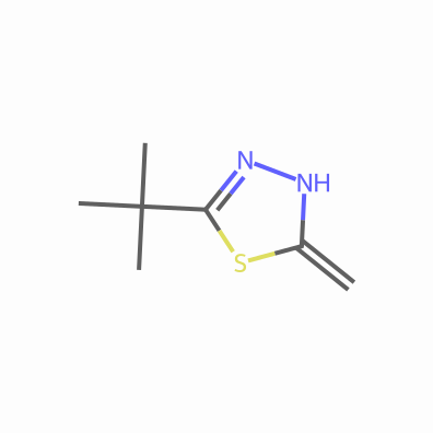 C=C1NN=C(C(C)(C)C)S1